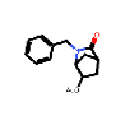 CC(=O)OC1CC2CC1N(Cc1ccccc1)C2=O